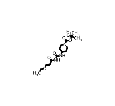 CCOC=CC(=O)NC(=O)NC1CCN(C(=O)OC(C)(C)C)CC1